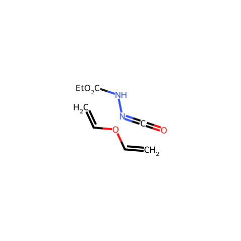 C=COC=C.CCOC(=O)NN=C=O